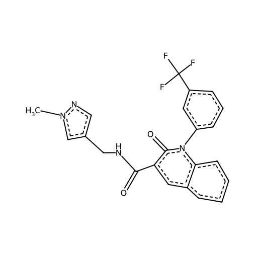 Cn1cc(CNC(=O)c2cc3ccccc3n(-c3cccc(C(F)(F)F)c3)c2=O)cn1